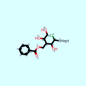 CCCCCCCC(Cl)C(O)C(COC(=O)c1ccccc1)C(O)CO